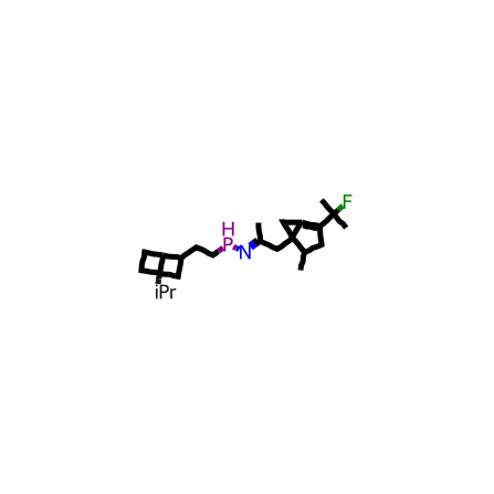 C/C(CC12CC1=C(C(C)(C)F)CC2C)=N\PCCC1CC2(C(C)C)CCC12